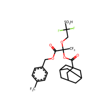 O=C(OC(OCC(F)(F)S(=O)(=O)O)(C(=O)OCc1ccc(C(F)(F)F)cc1)C(F)(F)F)C12CC3CC(CC(C3)C1)C2